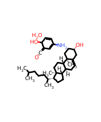 CC(C)CCCC(C)[C@H]1CC[C@H]2[C@@H]3CC=C4C[C@@H](O)CC[C@]4(C)[C@H]3CC[C@]12C.NC1=CC(=C=O)C(O)C=C1.O